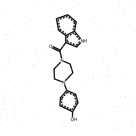 O=C(c1c[nH]c2ccccc12)N1CCN(c2ccc(O)cc2)CC1